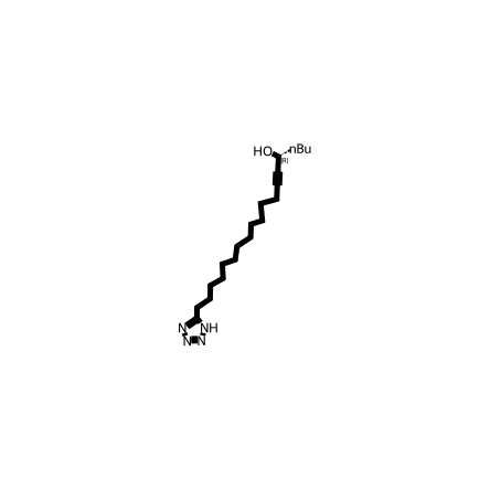 CCCC[C@@H](O)C#CCCCCCCCCCCCCc1nnn[nH]1